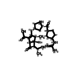 C[C@@H](O)[C@H]1C(=O)N2C(C(=O)O)=C(S[C@@H]3CN[C@H](C(=O)N4CCC(NC(=N)N)CC4)C3)[C@H](C)[C@H]12